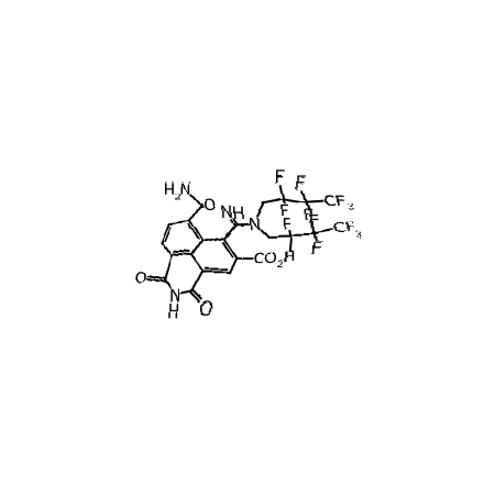 N=C(c1c(C(=O)O)cc2c3c(ccc(C(N)=O)c13)C(=O)NC2=O)N(CC(F)(F)C(F)(F)C(F)(F)F)CC(F)(F)C(F)(F)C(F)(F)F